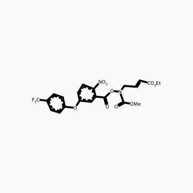 CCOC(=O)C=CCN(OC(=O)c1cc(Oc2ccc(C(F)(F)F)cc2)ccc1[N+](=O)[O-])C(=O)OC